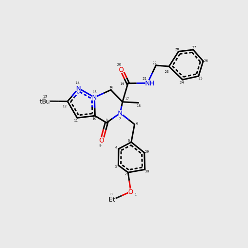 CCOc1ccc(CN2C(=O)c3cc(C(C)(C)C)nn3CC2(C)C(=O)NCc2ccccc2)cc1